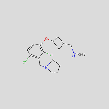 O=CNCC1CC(Oc2ccc(Cl)c(CN3CCCC3)c2Cl)C1